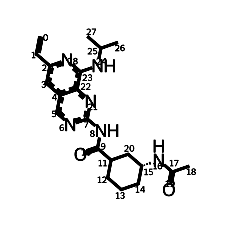 C=Cc1cc2cnc(NC(=O)C3CCC[C@@H](NC(C)=O)C3)nc2c(NC(C)C)n1